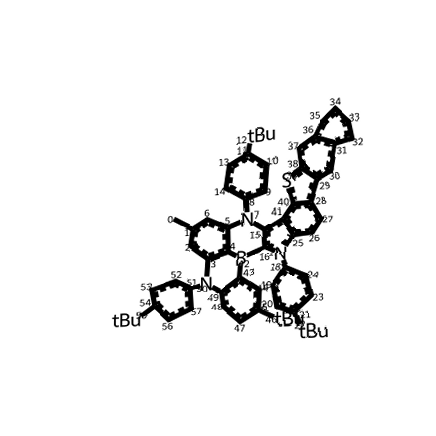 Cc1cc2c3c(c1)N(c1ccc(C(C)(C)C)cc1)c1c(n(-c4ccc(C(C)(C)C)cc4)c4ccc5c6cc7ccccc7cc6sc5c14)B3c1cc(C(C)(C)C)ccc1N2c1ccc(C(C)(C)C)cc1